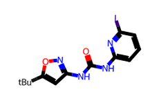 CC(C)(C)c1cc(NC(=O)Nc2cccc(I)n2)no1